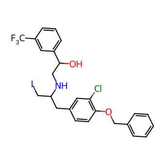 OC(CNC(CI)Cc1ccc(OCc2ccccc2)c(Cl)c1)c1cccc(C(F)(F)F)c1